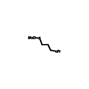 CCCCCCSOC